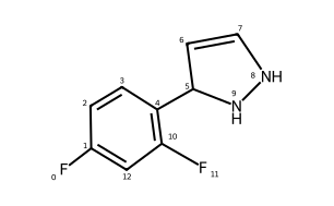 Fc1ccc(C2C=CNN2)c(F)c1